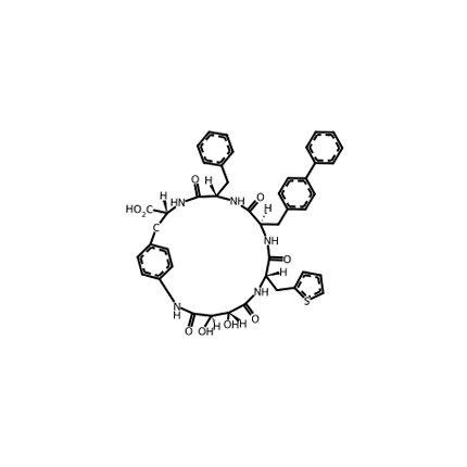 O=C1N[C@@H](C(=O)O)Cc2ccc(cc2)NC(=O)[C@H](O)[C@@H](O)C(=O)N[C@@H](Cc2cccs2)C(=O)N[C@H](Cc2ccc(-c3ccccc3)cc2)C(=O)N[C@H]1Cc1ccccc1